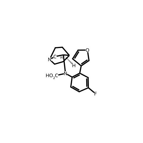 O=C(O)N(c1ccc(F)cc1-c1ccoc1)[C@H]1CN2CCC1CC2